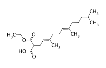 CCOC(=O)C(C/C=C(\C)CC/C=C(\C)CCC=C(C)C)C(=O)O